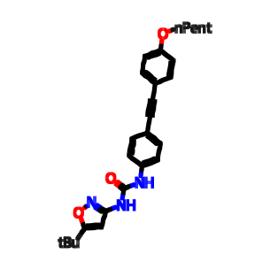 CCCCCOc1ccc(C#Cc2ccc(NC(=O)Nc3cc(C(C)(C)C)on3)cc2)cc1